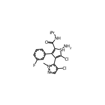 CC(C)NC(=O)C1=C(c2cccc(F)c2)C(c2c(Cl)cnn2C)=C(Cl)[SH]1N